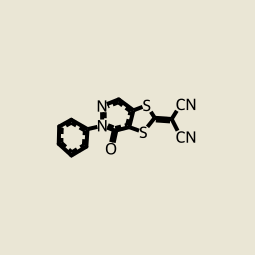 N#CC(C#N)=C1Sc2cnn(-c3ccccc3)c(=O)c2S1